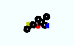 c1ccc(-c2c3ccccc3c(Oc3ccc4sc5ccccc5c4c3)c3ccncc23)cc1